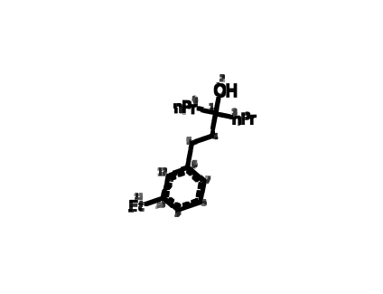 CCCC(O)(CCC)CCc1cccc(CC)c1